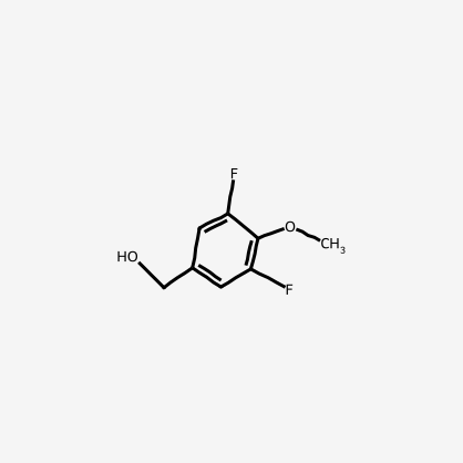 COc1c(F)cc(CO)cc1F